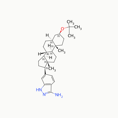 CC(C)(C)O[C@H]1CC[C@@]2(C)[C@@H](CC[C@@H]3[C@@H]2CC[C@]2(C)[C@@H](c4ccc5c(N)n[nH]c5c4)CC[C@@H]32)C1